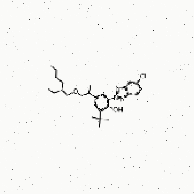 CCCCC(CC)COCC(C)c1cc(-n2nc3ccc(Cl)cc3n2)c(O)c(C(C)(C)C)c1